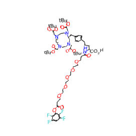 CC(C)(C)OC(=O)CN1CCN(CC(=O)OC(C)(C)C)CCN(CC(=O)OC(C)(C)C)[C@@H](Cc2ccc(CCC[C@H](NC(=O)CCOCCOCCOCCOCCOCCC(=O)Oc3c(F)c(F)cc(F)c3F)C(=O)O)cc2)CN(CC(=O)OC(C)(C)C)CC1